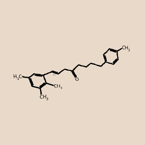 Cc1ccc(CCCCC(=O)C/C=C/c2cc(C)cc(C)c2C)cc1